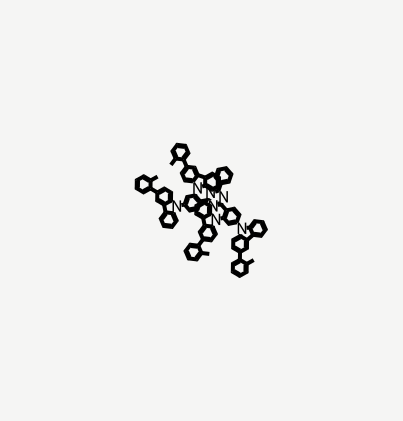 Cc1ccccc1-c1ccc2c(c1)c1ccccc1n2-c1ccc(-c2nc(-c3ccccc3)nc(-c3ccc(-n4c5ccccc5c5cc(-c6ccccc6C)ccc54)cc3-n3c4ccccc4c4cc(-c5ccccc5C)ccc43)n2)c(-n2c3ccccc3c3cc(-c4ccccc4C)ccc32)c1